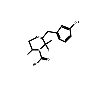 CC1CNC(Cc2cccc(O)c2)C(C)(F)N1C(=O)O